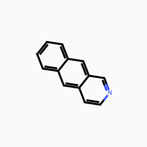 [c]1ccc2cc3cnccc3cc2c1